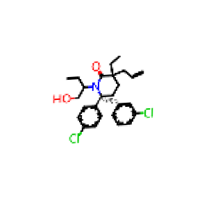 C=CCC1(CC)C[C@H](c2cccc(Cl)c2)[C@@H](c2ccc(Cl)cc2)N(C(CC)CO)C1=O